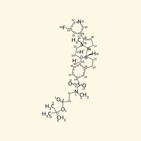 CN(CCC(=O)OC(C)(C)C)S(=O)(=O)c1ccc2c(c1)CC[C@@H]1[C@@H]2CC[C@]2(C)C(c3cncc(F)c3)=CC[C@@H]12